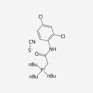 CCCC[P+](CCCC)(CCCC)CC(=O)Nc1ccc(Cl)cc1Cl.N#C[S-]